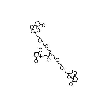 O=C(CCOCCOCCN(CCOCCOCCC(=O)ON1C(=O)CCC1=O)C(=O)CCN1C(=O)C=CC1=O)ON1C(=O)CCC1=O